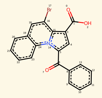 O=C(O)c1cc(C(=O)c2ccccc2)n2c1c(Br)cc1ccccc12